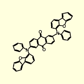 O=C1c2ccc(N(c3ccccc3)c3cccc4c3oc3ccccc34)cc2C(=O)c2ccc(N(c3ccccc3)c3cccc4c3oc3ccccc34)cc21